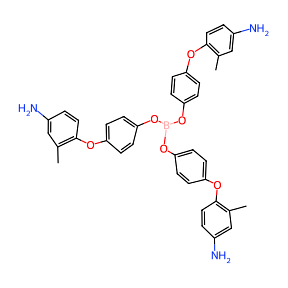 Cc1cc(N)ccc1Oc1ccc(OB(Oc2ccc(Oc3ccc(N)cc3C)cc2)Oc2ccc(Oc3ccc(N)cc3C)cc2)cc1